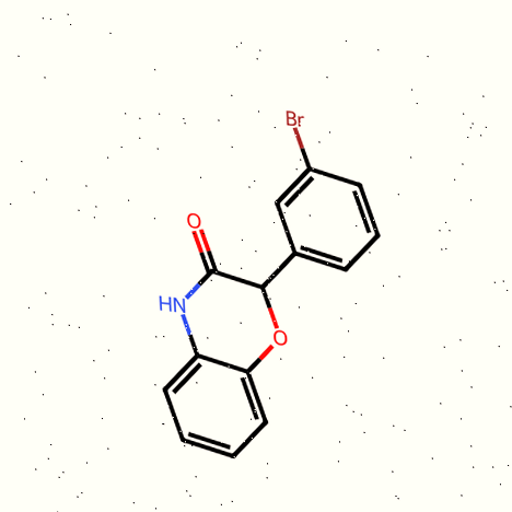 O=C1Nc2ccccc2OC1c1cccc(Br)c1